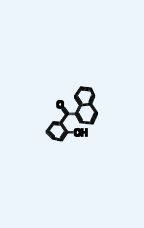 O=C(c1ccccc1O)c1cccc2ccccc12